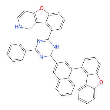 C1=Cc2oc3cccc(C4=NC(c5ccccc5)=NC(c5cc(-c6cccc7oc8ccccc8c67)c6ccccc6c5)N4)c3c2CN1